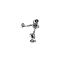 CNC(Cc1ccccc1)C(=O)OCCCCCCOC(=O)C(Cc1ccccc1)NC(=O)CCCCCCCCC(C)=O